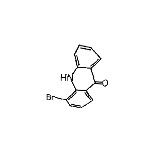 O=c1c2ccccc2[nH]c2c(Br)cccc12